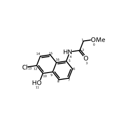 COCC(=O)Nc1cccc2c(O)c(Cl)ccc12